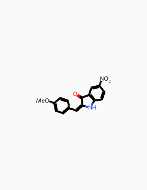 COc1ccc(C=C2Nc3ccc([N+](=O)[O-])cc3C2=O)cc1